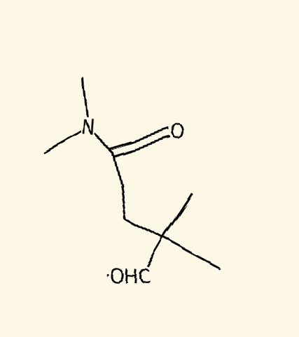 CN(C)C(=O)CC(C)(C)[C]=O